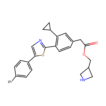 CC(C)c1ccc(-c2cnc(-c3ccc(CC(=O)OCC4CNC4)cc3C3CC3)s2)cc1